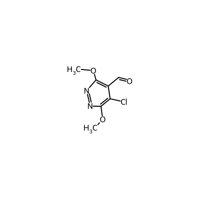 COc1nnc(OC)c(C=O)c1Cl